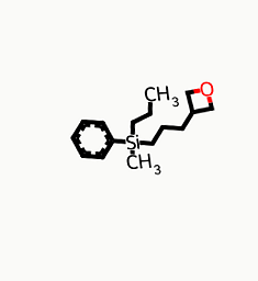 CCC[Si](C)(CCCC1COC1)c1ccccc1